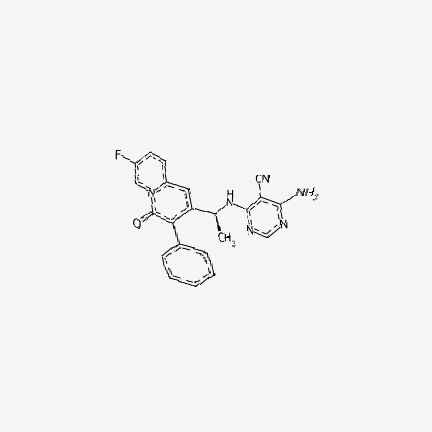 C[C@H](Nc1ncnc(N)c1C#N)c1cc2ccc(F)cn2c(=O)c1-c1ccccc1